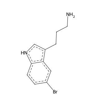 NCCCc1c[nH]c2ccc(Br)cc12